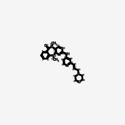 CN1C(=O)c2ccccc2N(C)c2nc(Nc3ccnc(/C=C/CN4CCOCC4)c3)ncc21